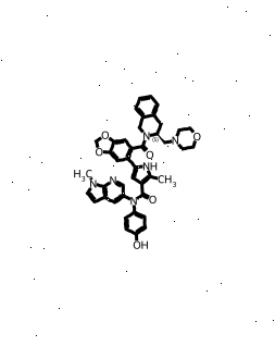 Cc1[nH]c(-c2cc3c(cc2C(=O)N2Cc4ccccc4C[C@H]2CN2CCOCC2)OCO3)cc1C(=O)N(c1ccc(O)cc1)c1cnc2c(ccn2C)c1